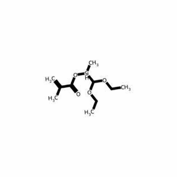 C=C(C)C(=O)O[SiH](C)C(OCC)OCC